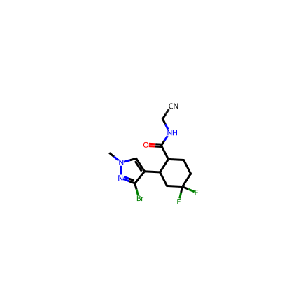 Cn1cc(C2CC(F)(F)CCC2C(=O)NCC#N)c(Br)n1